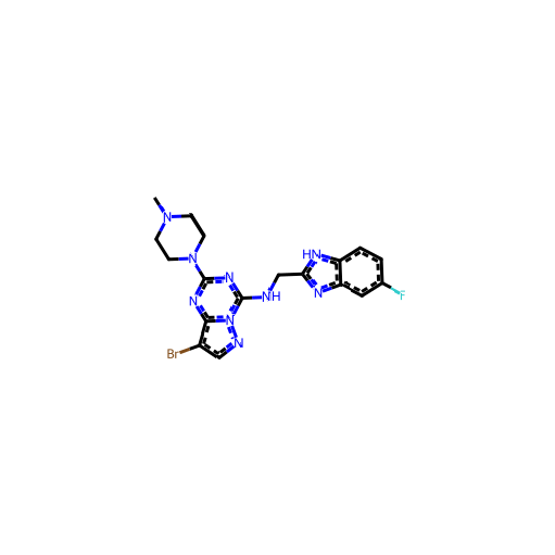 CN1CCN(c2nc(NCc3nc4cc(F)ccc4[nH]3)n3ncc(Br)c3n2)CC1